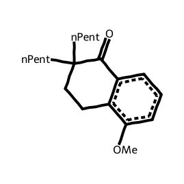 CCCCCC1(CCCCC)CCc2c(OC)cccc2C1=O